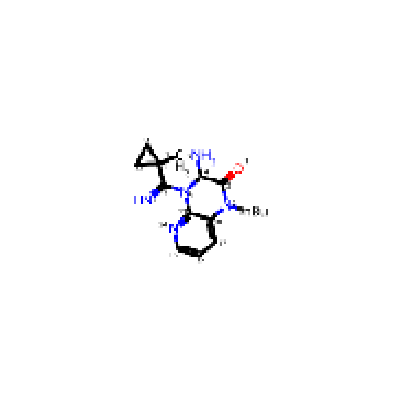 CCCCN1C(=O)C(N)N(C(=N)C2(C)CC2)c2ncccc21